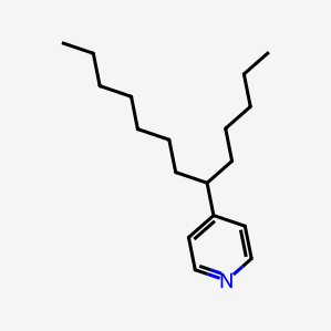 CCCCCCCC(CCCCC)c1ccncc1